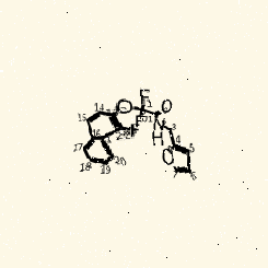 O=C(NCc1ccco1)C(F)(F)Oc1ccc2ccccc2c1F